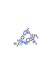 C=C(F)/C(=N\C=N/[C@H]1C=CC=c2c(cc(C)n2CC)=C1F)Nc1ccc(N2CCN(CC)CC2)cc1